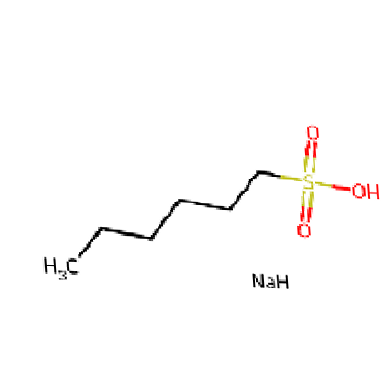 CCCCCCS(=O)(=O)O.[NaH]